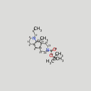 CCCN1CCCc2cc3c(c(C)c21)CCN(C(=O)OC(C)(C)C)CC3